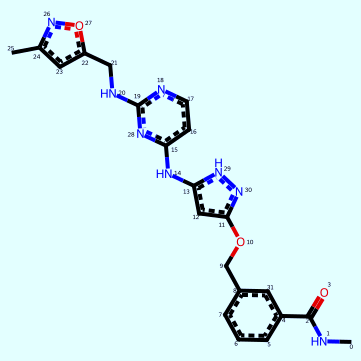 CNC(=O)c1cccc(COc2cc(Nc3ccnc(NCc4cc(C)no4)n3)[nH]n2)c1